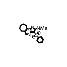 CNc1nn2c3c(cnc2c1S(=O)(=O)c1ccccc1)CCCCC3